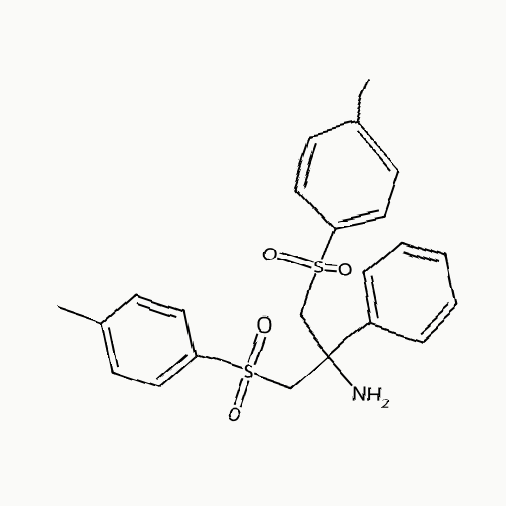 Cc1ccc(S(=O)(=O)CC(N)(CS(=O)(=O)c2ccc(C)cc2)c2ccccc2)cc1